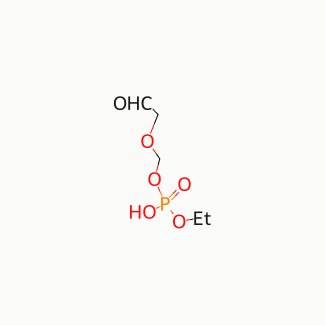 CCOP(=O)(O)OCOCC=O